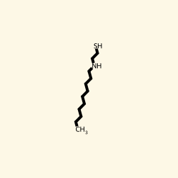 CCCCCCCCCCNCCS